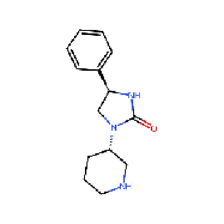 O=C1N[C@H](c2ccccc2)CN1[C@H]1CCCNC1